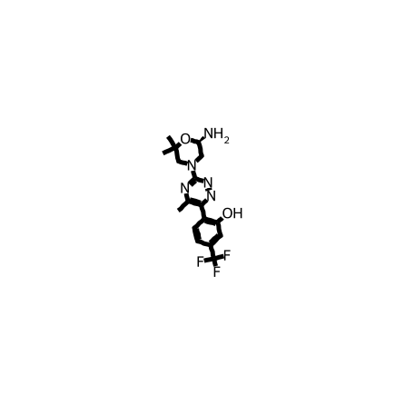 Cc1nc(N2C[C@H](N)OC(C)(C)C2)nnc1-c1ccc(C(F)(F)F)cc1O